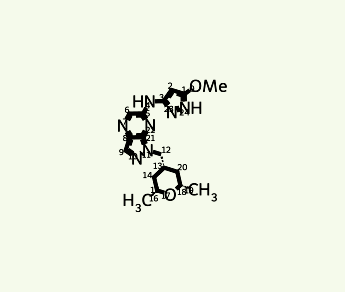 COc1cc(Nc2cnc3cnn(C[C@H]4C[C@@H](C)O[C@@H](C)C4)c3n2)n[nH]1